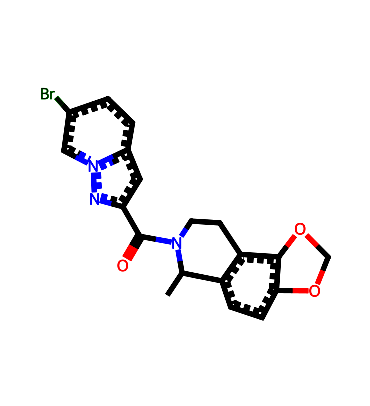 CC1c2ccc3c(c2CCN1C(=O)c1cc2ccc(Br)cn2n1)OCO3